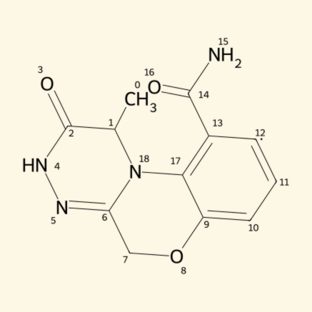 CC1C(=O)NN=C2COc3cc[c]c(C(N)=O)c3N21